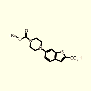 CC(C)(C)OC(=O)N1CCN(c2ccc3cc(C(=O)O)sc3c2)CC1